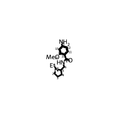 CCN1CCCC1CNC(=O)c1ccc(N)cc1OC